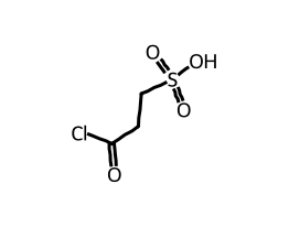 O=C(Cl)CCS(=O)(=O)O